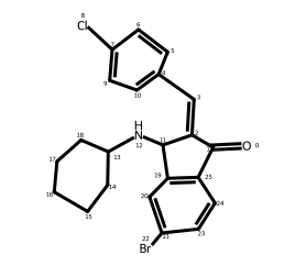 O=C1/C(=C/c2ccc(Cl)cc2)C(NC2CCCCC2)c2cc(Br)ccc21